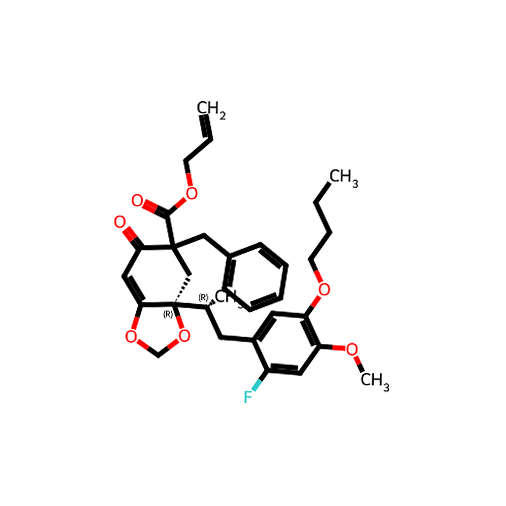 C=CCOC(=O)C1(Cc2ccccc2)C[C@]2([C@H](C)Cc3cc(OCCCC)c(OC)cc3F)OCOC2=CC1=O